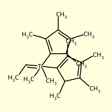 C[CH]=[Ti]([CH3])([CH3])([C]1=C(C)C(C)=C(C)C1C)[C]1=C(C)C(C)=C(C)C1C